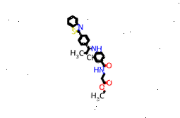 CCOC(=O)CCNC(=O)c1ccc(N[C@H](c2ccc(-c3nc4ccccc4s3)cc2)C(C)C)cc1